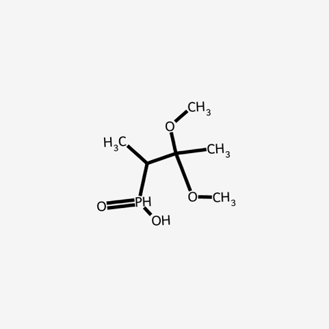 COC(C)(OC)C(C)[PH](=O)O